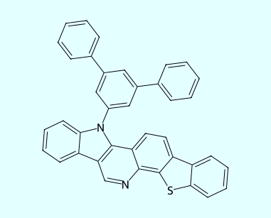 c1ccc(-c2cc(-c3ccccc3)cc(-n3c4ccccc4c4cnc5c(ccc6c7ccccc7sc65)c43)c2)cc1